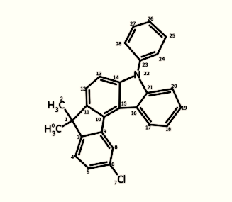 CC1(C)c2ccc(Cl)cc2-c2c1ccc1c2c2ccccc2n1-c1ccccc1